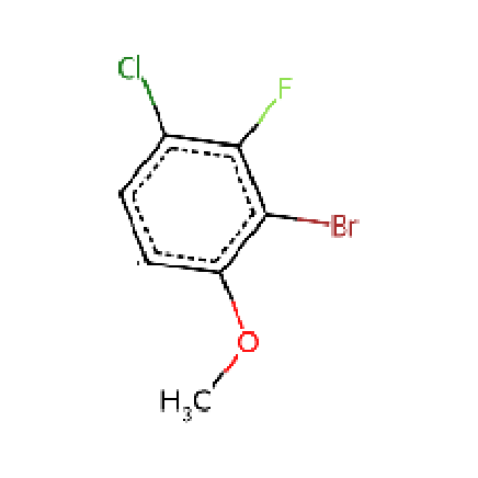 COc1[c]cc(Cl)c(F)c1Br